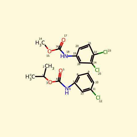 CC(C)OC(=O)Nc1cccc(Cl)c1.COC(=O)Nc1ccc(Cl)c(Cl)c1